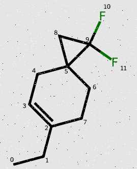 CCC1=CCC2(CC1)CC2(F)F